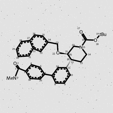 CNC(=O)c1ccc(-c2cccc([C@H]3CCN(C(=O)OC(C)(C)C)C[C@@H]3OCc3ccc4ccccc4c3)c2)cc1